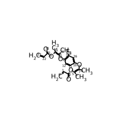 C=CC(=O)OC(C)=C(C)Oc1ccc(OC(C)=C(C)OC(=O)C=C)c(F)c1